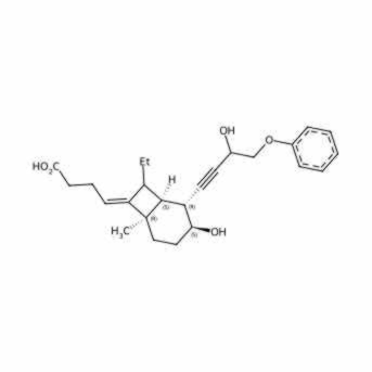 CCC1C(=CCCC(=O)O)[C@]2(C)CC[C@H](O)[C@@H](C#CC(O)COc3ccccc3)[C@H]12